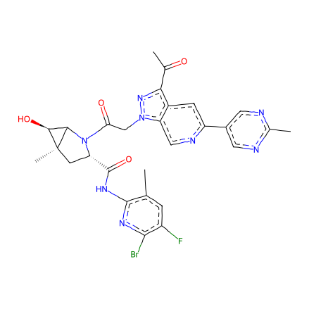 CC(=O)c1nn(CC(=O)N2C3[C@H](O)[C@]3(C)C[C@H]2C(=O)Nc2nc(Br)c(F)cc2C)c2cnc(-c3cnc(C)nc3)cc12